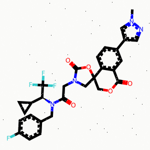 Cn1cc(-c2ccc3c(c2)C(=O)OCC32CN(CC(=O)N(Cc3ccc(F)cc3)[C@@H](C3CC3)C(F)(F)F)C(=O)O2)cn1